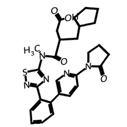 CN(C(=O)C(CC(=O)O)CC1CCCC1)c1nc(-c2ccccc2-c2ccc(N3CCCC3=O)nc2)ns1